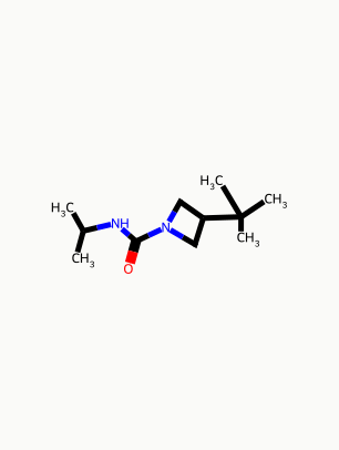 CC(C)NC(=O)N1CC(C(C)(C)C)C1